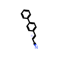 N#C/C=C/c1ccc(-c2ccccc2)cc1